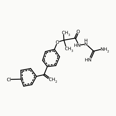 C=C(c1ccc(Cl)cc1)c1ccc(OC(C)(C)C(=O)NNC(=N)N)cc1